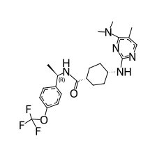 Cc1cnc(N[C@H]2CC[C@@H](C(=O)N[C@H](C)c3ccc(OC(F)(F)F)cc3)CC2)nc1N(C)C